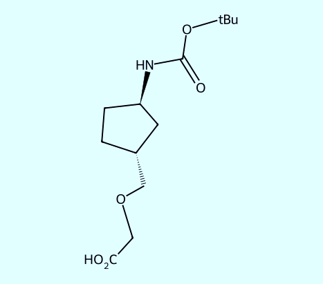 CC(C)(C)OC(=O)N[C@@H]1CC[C@@H](COCC(=O)O)C1